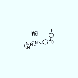 Cl.Cl.O=C(c1ccc(F)cc1)C1CCN(CCN2CCN(c3ncccn3)CC2)CC1